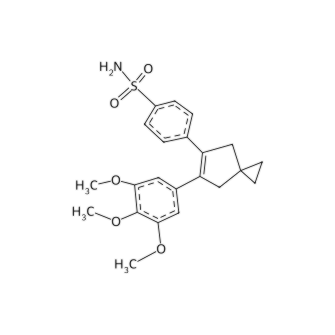 COc1cc(C2=C(c3ccc(S(N)(=O)=O)cc3)CC3(CC3)C2)cc(OC)c1OC